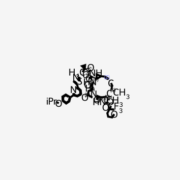 CC(C)Oc1ccc(-c2cc(O[C@@H]3C[C@H]4C(=O)N[C@]5(C(=O)NS(=O)(=O)C6(C)CC6)CC5/C=C\CC[C@H](C)C[C@@H](C)[C@H](NC(=O)OC5(C(F)(F)F)CCCOC5)C(=O)N4C3)cc(-c3cncs3)n2)cc1